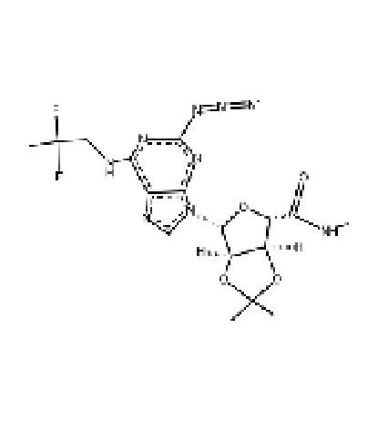 CNC(=O)[C@H]1O[C@@H](n2cnc3c(NCC(C)(F)F)nc(N=[N+]=[N-])nc32)[C@@H]2OC(C)(C)O[C@@H]21